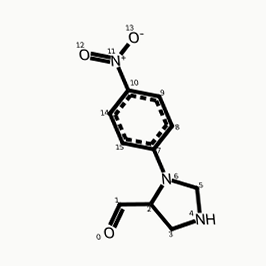 O=CC1CNCN1c1ccc([N+](=O)[O-])cc1